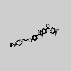 CC(C)N1CCN(CCCOc2ccc(-c3nc4c(s3)CC(C(=O)N3CCC(F)(F)CC3)C4)cc2)CC1